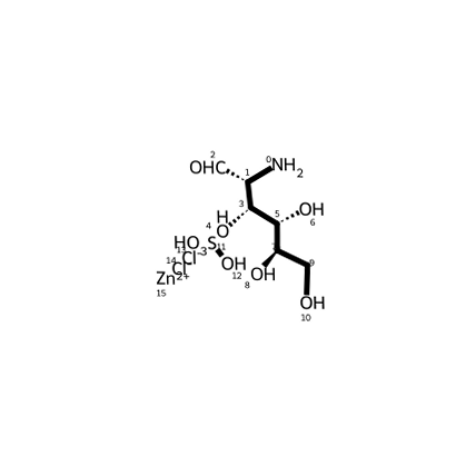 N[C@@H](C=O)[C@@H](O)[C@H](O)[C@H](O)CO.O=S(=O)(O)O.[Cl-].[Cl-].[Zn+2]